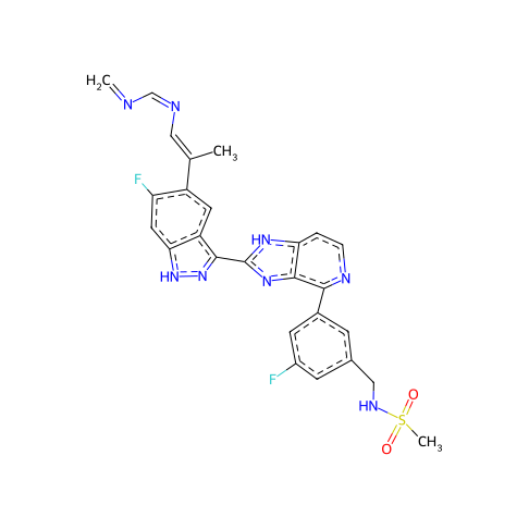 C=N/C=N\C=C(/C)c1cc2c(-c3nc4c(-c5cc(F)cc(CNS(C)(=O)=O)c5)nccc4[nH]3)n[nH]c2cc1F